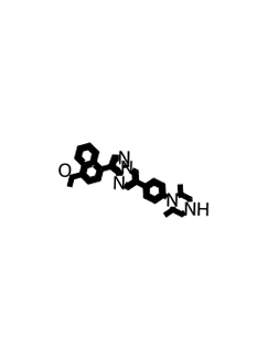 CC(=O)c1ccc(-c2cnn3cc(-c4ccc(N5C(C)CNCC5C)cc4)cnc23)c2ccccc12